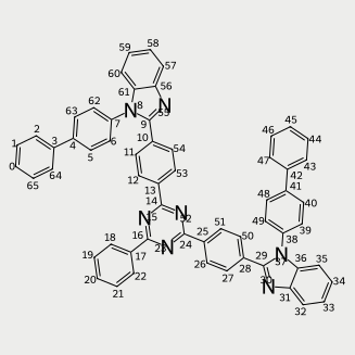 c1ccc(-c2ccc(-n3c(-c4ccc(-c5nc(-c6ccccc6)nc(-c6ccc(-c7nc8ccccc8n7-c7ccc(-c8ccccc8)cc7)cc6)n5)cc4)nc4ccccc43)cc2)cc1